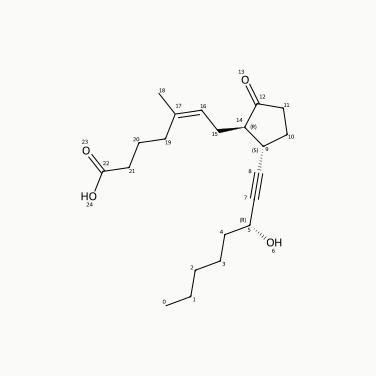 CCCCC[C@@H](O)C#C[C@H]1CCC(=O)[C@@H]1CC=C(C)CCCC(=O)O